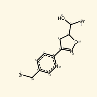 CC(C)C(O)C1CC(c2ccc(CBr)cn2)=NO1